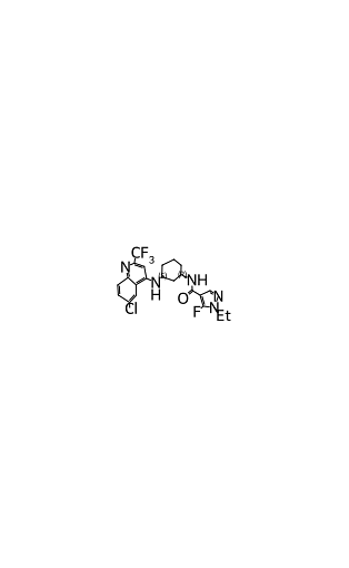 CCn1ncc(C(=O)N[C@@H]2CCC[C@H](Nc3cc(C(F)(F)F)nc4ccc(Cl)cc34)C2)c1F